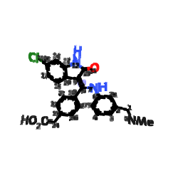 CNCc1cccc(N/C(=C2\C(=O)Nc3cc(Cl)ccc32)c2ccc(CC(=O)O)cc2)c1